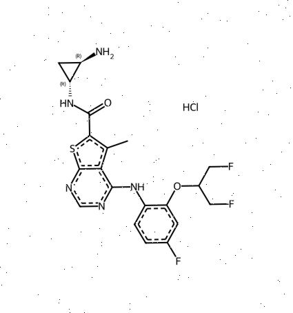 Cc1c(C(=O)N[C@@H]2C[C@H]2N)sc2ncnc(Nc3ccc(F)cc3OC(CF)CF)c12.Cl